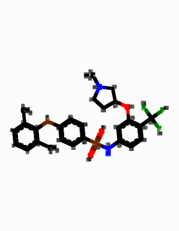 Cc1cccc(C)c1Sc1ccc(S(=O)(=O)Nc2ccc(C(F)(F)F)c(OC3CCN(C)C3)c2)cc1